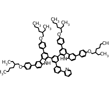 CCCCC(CC)COc1ccc(-c2ccc3[nH]c4c(-c5cc(-c6cccc(-c7ccccn7)c6)cc(-c6cc(-c7ccc(OCC(CC)CCCC)cc7)cc7c6[nH]c6ccc(-c8ccc(OCC(CC)CCCC)cc8)cc67)c5)cc(-c5ccc(OCC(CC)CCCC)cc5)cc4c3c2)cc1